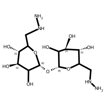 NNCC1O[C@H](O[C@H]2OC(CNN)[C@@H](O)[C@H](O)C2O)C(O)[C@@H](O)[C@@H]1O